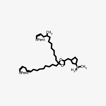 CCCCC/C=C\C/C=C\CCCCCCCCC1(CCCCCCCCC(C)C/C=C\CCCCC)OCC(CC2CCC(N(C)C)C2)O1